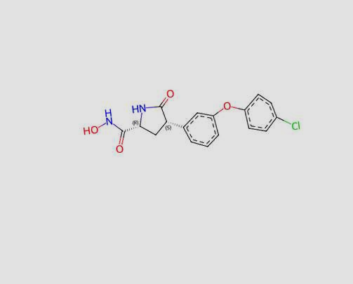 O=C1N[C@@H](C(=O)NO)C[C@H]1c1cccc(Oc2ccc(Cl)cc2)c1